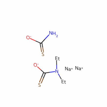 CCN(CC)C([O-])=S.NC([O-])=S.[Na+].[Na+]